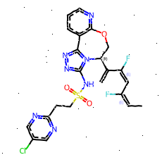 C=C(/C(F)=C\C(F)=C/C)[C@@H]1COc2ncccc2-c2nnc(NS(=O)(=O)CCc3ncc(Cl)cn3)n21